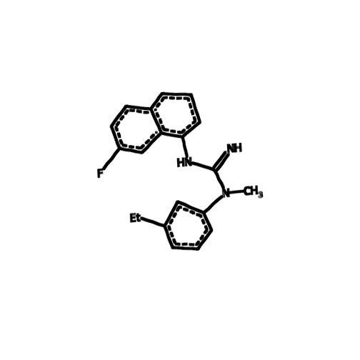 CCc1cccc(N(C)C(=N)Nc2cccc3ccc(F)cc23)c1